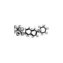 O=S(=O)(Oc1ccc2cc(N3CCCCC3)ccc2c1)C(F)(F)F